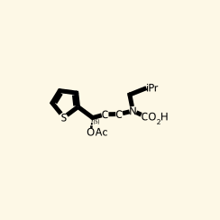 CC(=O)O[C@@H](CCN(CC(C)C)C(=O)O)c1cccs1